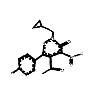 CC(=O)c1c(-c2ccc(F)cc2)nn(CC2CC2)c(=O)c1[N+](=O)[O-]